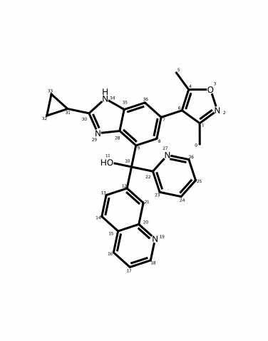 Cc1noc(C)c1-c1cc(C(O)(c2ccc3cccnc3c2)c2ccccn2)c2nc(C3CC3)[nH]c2c1